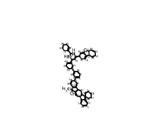 CC1(C)C2=C(CC(c3cccc(C4=CC(C5C=C(C6C=C7OC8C=CCCC8C7=CC6)NC(C6=CCCCC6)N5)=CCC4)c3)C=C2)C2CC3C(CC21)c1ccccc1C31CCCCC1